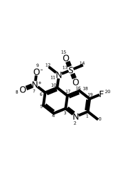 Cc1nc2ccc([N+](=O)[O-])c(N(C)S(C)(=O)=O)c2cc1F